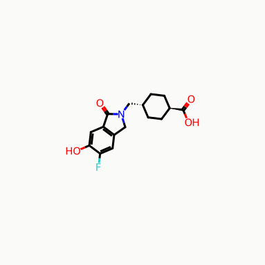 O=C1c2cc(O)c(F)cc2CN1C[C@H]1CC[C@H](C(=O)O)CC1